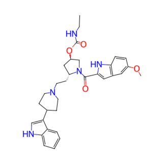 CCNC(=O)O[C@@H]1C[C@@H](CCN2CCC(c3c[nH]c4ccccc34)CC2)N(C(=O)c2cc3cc(OC)ccc3[nH]2)C1